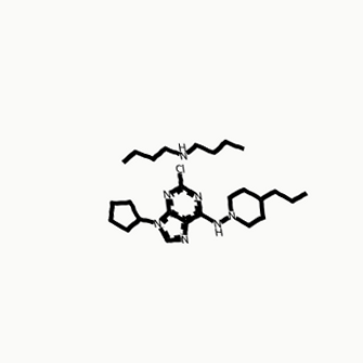 CCCC1CCN(Nc2nc(Cl)nc3c2ncn3C2CCCC2)CC1.CCCCNCCCC